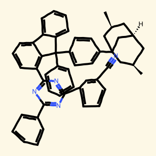 C[C@@H]1C[C@@H]2C[C@H](C)CC(c3ccc(C4(c5ccccc5)c5ccccc5-c5cccc(-c6nc(-c7ccccc7)nc(-c7cccc(C#N)c7)n6)c54)cc3)(C1)C2